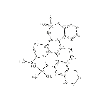 COC(=O)[C@@H](OC(C)(C)C)c1c(C)c2c(c(C)c1-c1ccc3c(c1C)CCCO3)-c1ccccc1CS(=O)(=O)N2